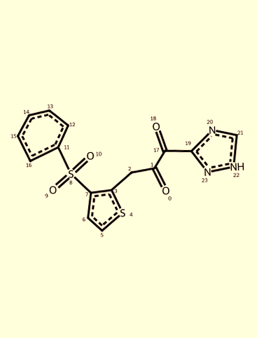 O=C(Cc1sccc1S(=O)(=O)c1ccccc1)C(=O)c1nc[nH]n1